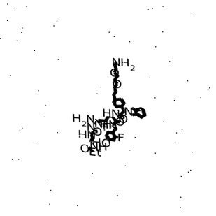 CCC(=O)NCCNC(=O)/N=C(/N)NCCC[C@@H](NC(=O)C(c1ccc(CCCOCCOCCN)cc1)N1Cc2ccccc2C1)C(=O)NCc1c(F)cc(O)cc1F